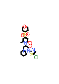 Cc1cc(S(=O)(=O)C2CCOCC2)cc(=O)n1C(CC1CCCCC1)C(=O)Nc1ncc(Cl)s1